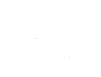 Cc1nn(C)cc1-c1cc(N2CCOCC2)nc2c(/C(N)=C/C=N)nccc12